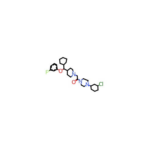 O=C(CN1CCC(C(Oc2cccc(F)c2)C2CCCCC2)CC1)N1CCN(C2CCCC(Cl)C2)CC1